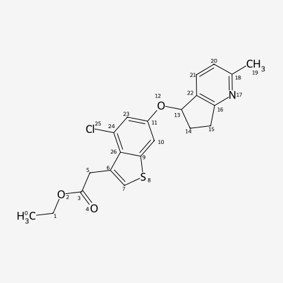 CCOC(=O)Cc1csc2cc(OC3CCc4nc(C)ccc43)cc(Cl)c12